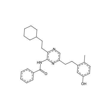 Cc1ccc(O)cc1CCc1cnc(CCC2CCCCC2)c(NC(=O)c2ccccc2)n1